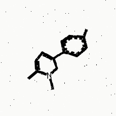 CC1=CC=C(c2ccc(C)cc2)CN1C